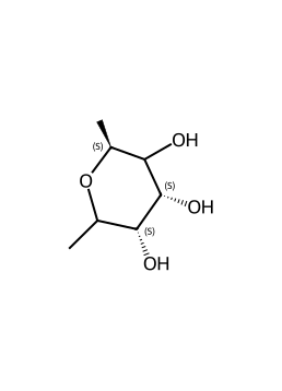 CC1O[C@@H](C)C(O)[C@H](O)[C@@H]1O